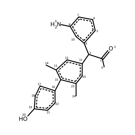 CC(=O)C(c1cccc(N)c1)c1cc(C)c(-c2ccc(O)cc2)c(C)c1